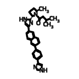 CC(C)CC(=O)N1[C@H](C)CC[C@H]1c1nc(-c2ccc3cc(-c4ccc(-c5c[nH]cn5)cc4)ccc3c2)c[nH]1